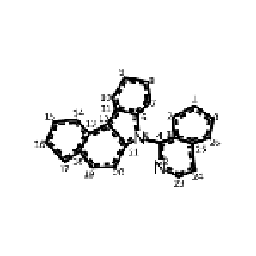 c1ccc2c(-n3c4ccccc4c4c5ccccc5ccc43)nccc2c1